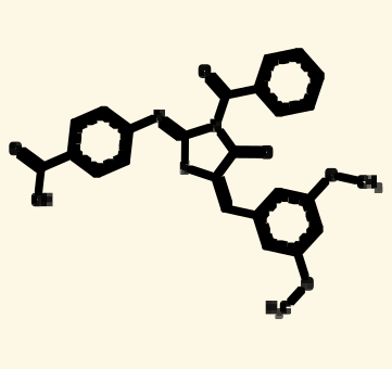 COc1cc(C=C2SC(=Nc3ccc(C(=O)O)cc3)N(C(=O)c3ccccc3)C2=O)cc(OC)c1